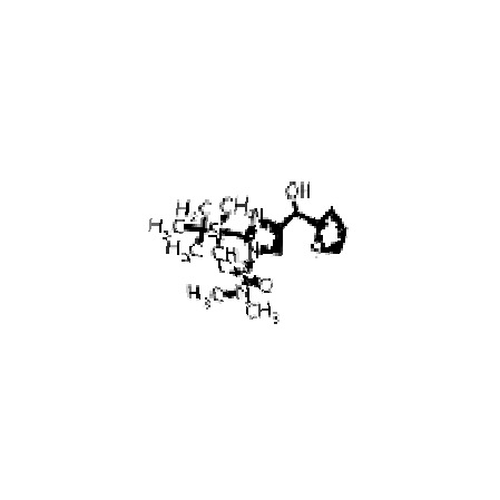 CN(C)S(=O)(=O)n1cc(C(O)c2cccs2)nc1[Si](C)(C)C(C)(C)C